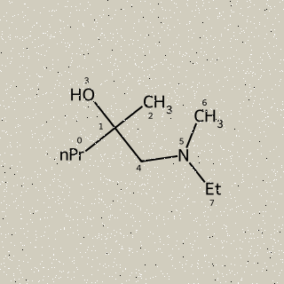 CCCC(C)(O)CN(C)CC